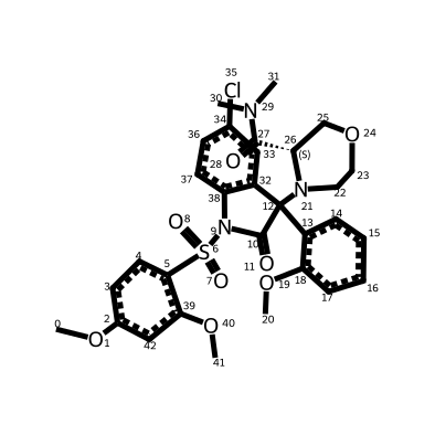 COc1ccc(S(=O)(=O)N2C(=O)C(c3ccccc3OC)(N3CCOC[C@H]3C(=O)N(C)C)c3cc(Cl)ccc32)c(OC)c1